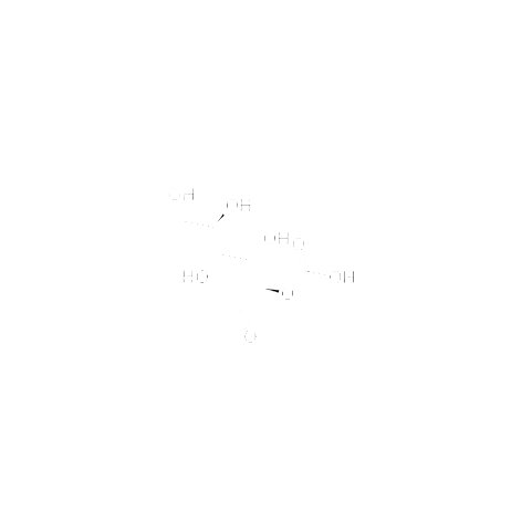 O=C[C@H](OC(=O)O)[C@@H](O)[C@H](O)[C@H](O)CO